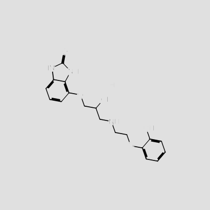 Cl.O=c1[nH]c2cccc(OCC(O)CNCCOc3ccccc3O)c2[nH]1